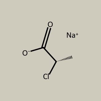 C[C@H](Cl)C(=O)[O-].[Na+]